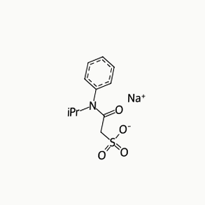 CC(C)N(C(=O)CS(=O)(=O)[O-])c1ccccc1.[Na+]